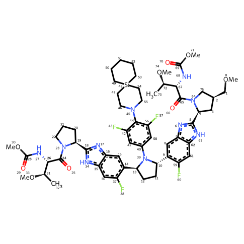 COC[C@H]1C[C@@H](c2nc3cc([C@@H]4CC[C@@H](c5cc6nc([C@@H]7CCCN7C(=O)[C@@H](NC(=O)OC)[C@@H](C)OC)[nH]c6cc5F)N4c4cc(F)c(N5CC[Si]6(CCCCC6)CC5)c(F)c4)c(F)cc3[nH]2)N(C(=O)[C@@H](NC(=O)OC)[C@@H](C)OC)C1